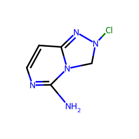 NC1=NC=CC2=NN(Cl)CN12